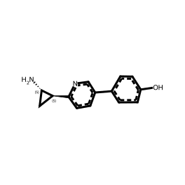 N[C@H]1C[C@@H]1c1ccc(-c2ccc(O)cc2)cn1